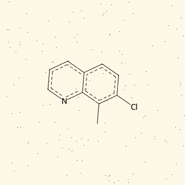 Cc1c(Cl)ccc2cccnc12